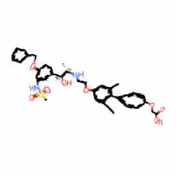 Cc1cc(OCCN[C@@H](C)[C@H](O)c2ccc(OCc3ccccc3)c(NS(C)(=O)=O)c2)cc(C)c1-c1ccc(OCC(=O)O)cc1